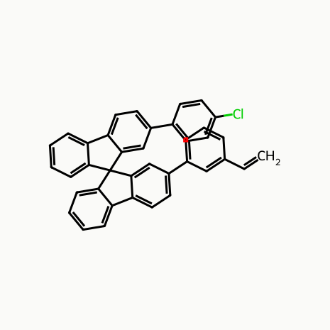 C=Cc1cccc(-c2ccc3c(c2)C2(c4ccccc4-c4ccc(-c5ccc(Cl)cc5)cc42)c2ccccc2-3)c1